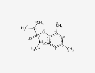 Cc1ccc(OP(=O)(N(C)C)N(C)C)c(C)c1